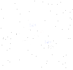 CCCNCC(=O)C1C2=C(C=CC1C)CCN2